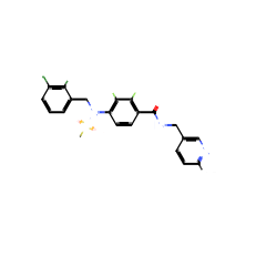 CS(=O)(=O)N(Cc1cccc(Cl)c1Cl)c1ccc(C(=O)NCc2ccc(C(F)(F)F)nc2)c(F)c1F